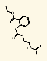 CCOC(=O)c1ccccc1OC(=O)SCCNC(C)=O